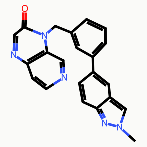 Cn1cc2cc(-c3cccc(Cn4c(=O)cnc5ccncc54)c3)ccc2n1